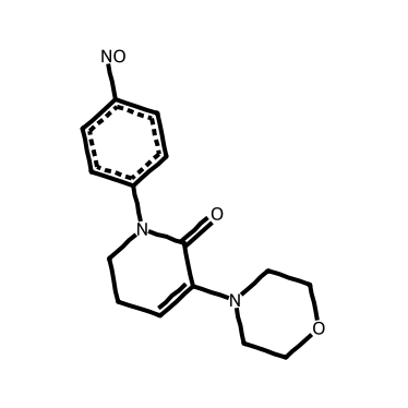 O=Nc1ccc(N2CCC=C(N3CCOCC3)C2=O)cc1